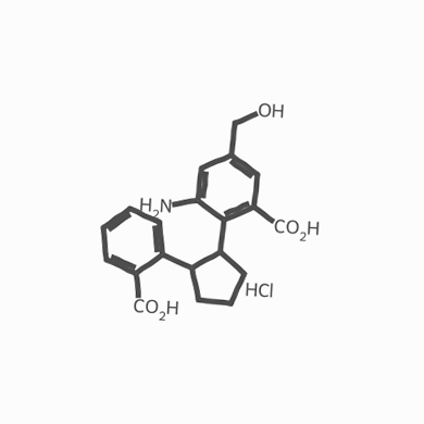 Cl.Nc1cc(CO)cc(C(=O)O)c1C1CCCC1c1ccccc1C(=O)O